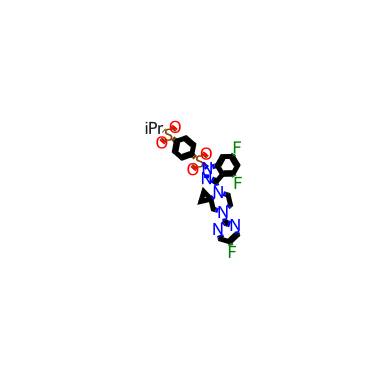 CC(C)S(=O)(=O)c1ccc(S(=O)(=O)n2nc(N3CCN(c4ncc(F)cn4)CC34CC4)c3c(F)cc(F)cc32)cc1